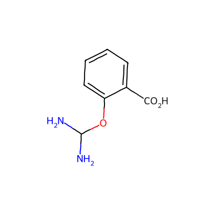 NC(N)Oc1ccccc1C(=O)O